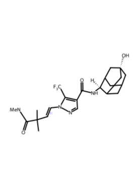 CNC(=O)C(C)(C)/C=C/n1ncc(C(=O)N[C@H]2C3CC4CC2C[C@](O)(C4)C3)c1C(F)(F)F